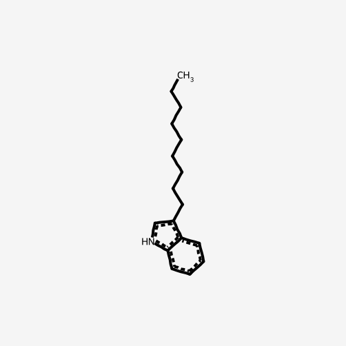 CCCCCCCCCc1c[nH]c2ccccc12